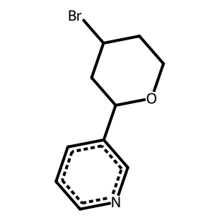 BrC1CCOC(c2cccnc2)C1